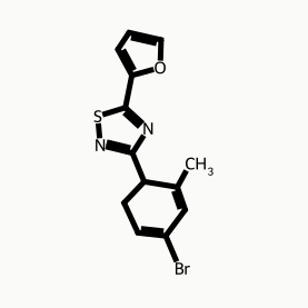 CC1=CC(Br)=CCC1c1nsc(-c2ccco2)n1